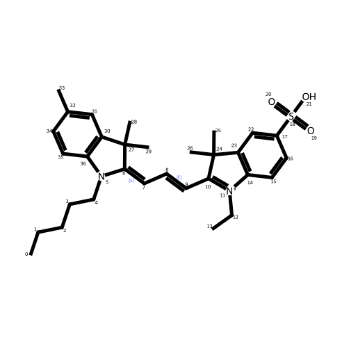 CCCCCN1/C(=C/C=C/C2=[N+](CC)c3ccc(S(=O)(=O)O)cc3C2(C)C)C(C)(C)c2cc(C)ccc21